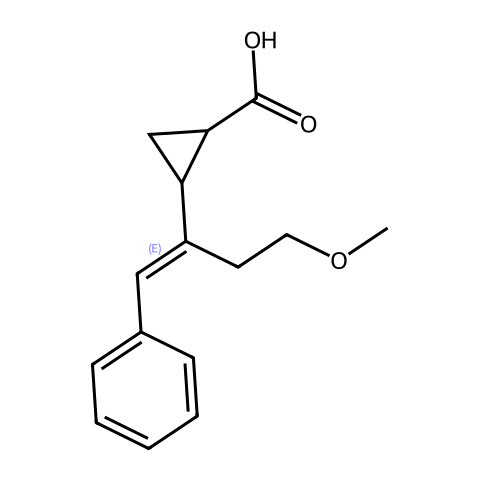 COCC/C(=C\c1ccccc1)C1CC1C(=O)O